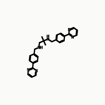 CC(C)(CNCc1ccc(-c2ncccn2)cc1)NCc1ccc(-c2ncccn2)cc1